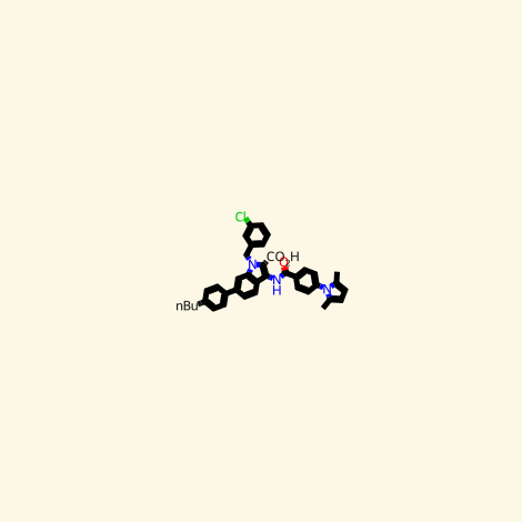 CCCCc1ccc(-c2ccc3c(NC(=O)c4ccc(-n5c(C)ccc5C)cc4)c(C(=O)O)n(Cc4cccc(Cl)c4)c3c2)cc1